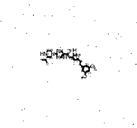 COc1cc(CCc2cc(NC(=O)c3cnc(N4CCN[C@@H](C(C)C)C4)nc3)[nH]n2)cc(OC)c1